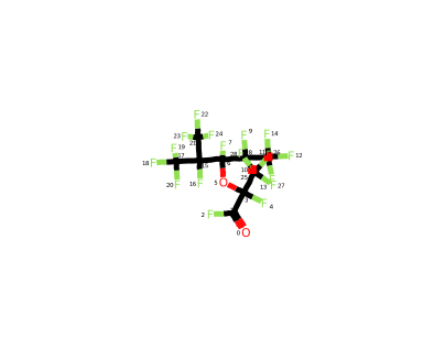 O=C(F)C(F)(OC(F)(C(F)(F)C(F)(F)F)C(F)(C(F)(F)F)C(F)(F)F)C(F)(F)F